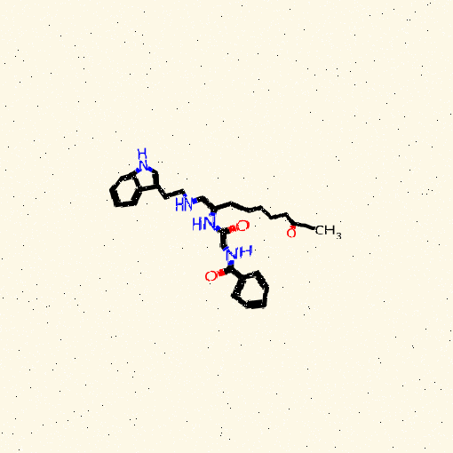 CCC(=O)CCCCCC(CNCCc1c[nH]c2ccccc12)NC(=O)CNC(=O)c1ccccc1